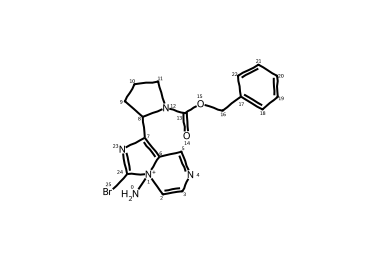 N[N+]12C=CN=CC1=C(C1CCCN1C(=O)OCc1ccccc1)N=C2Br